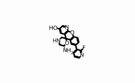 N[C@@H]1CNCC2(O1)c1cc(-c3cccnc3F)ccc1Oc1ncc(O)cc12